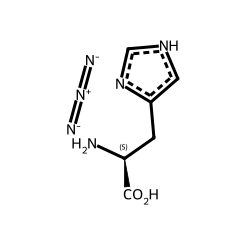 N[C@@H](Cc1c[nH]cn1)C(=O)O.[N-]=[N+]=[N-]